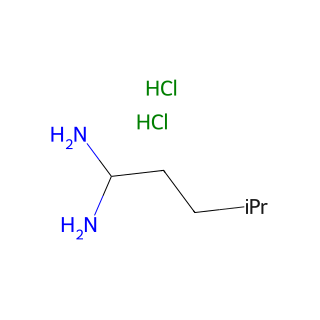 CC(C)CCC(N)N.Cl.Cl